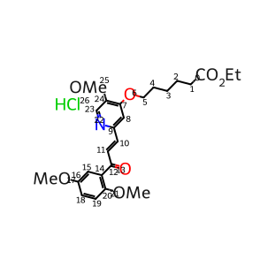 CCOC(=O)CCCCCOc1cc(/C=C/C(=O)c2cc(OC)ccc2OC)ncc1OC.Cl